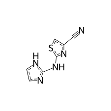 N#Cc1csc(Nc2ncc[nH]2)n1